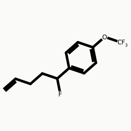 C=CCCC(F)c1ccc(OC(F)(F)F)cc1